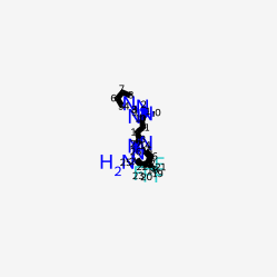 Cn1nc(N2CCCC2)nc1CCc1nc2cc(C(F)(F)F)c(F)c(N)n2n1